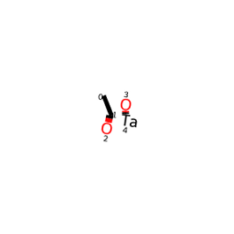 CC=O.[O]=[Ta]